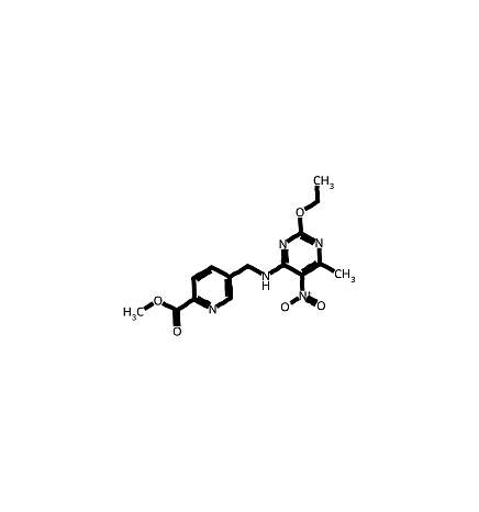 CCOc1nc(C)c([N+](=O)[O-])c(NCc2ccc(C(=O)OC)nc2)n1